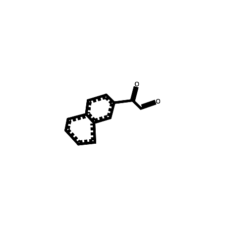 O=CC(=O)c1ccc2ccccc2c1